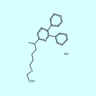 CN(CCCCOCC(=O)[O-])c1ccc(-c2ccccc2)c(-c2ccccc2)n1.[Na+]